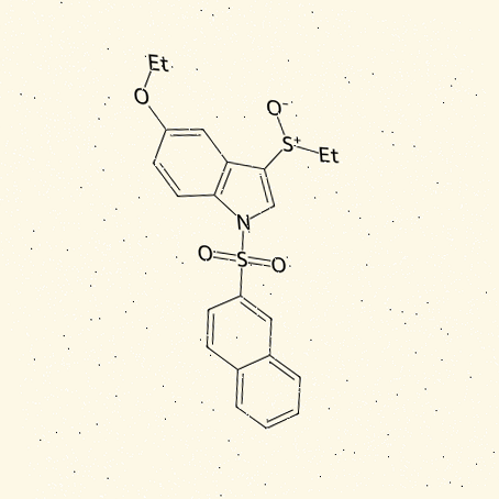 [CH2]C[S+]([O-])c1cn(S(=O)(=O)c2ccc3ccccc3c2)c2ccc(OCC)cc12